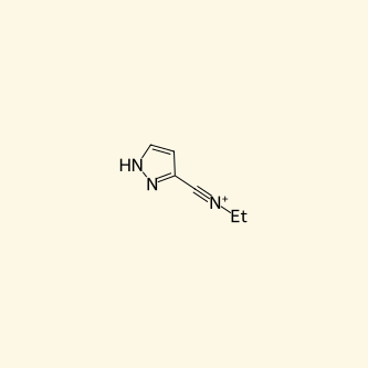 CC[N+]#Cc1cc[nH]n1